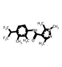 Cc1nn(C)c(C)c1C(=O)Nc1ccc(C(C(F)(F)F)C(F)(F)F)c(C)c1C